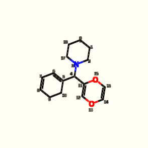 [CH]1CCN(C(C2=CC=CCC2)C2=COC=CO2)CC1